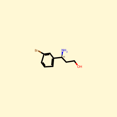 N[C@@H](CCO)c1cccc(Br)c1